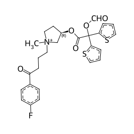 C[N+]1(CCCC(=O)c2ccc(F)cc2)CC[C@@H](OC(=O)C(OC=O)(c2cccs2)c2cccs2)C1